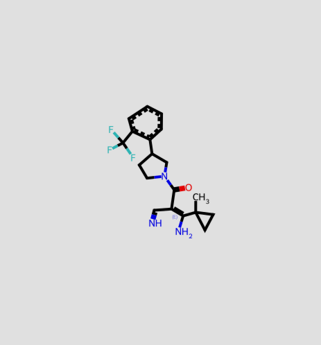 CC1(/C(N)=C(/C=N)C(=O)N2CCC(c3ccccc3C(F)(F)F)C2)CC1